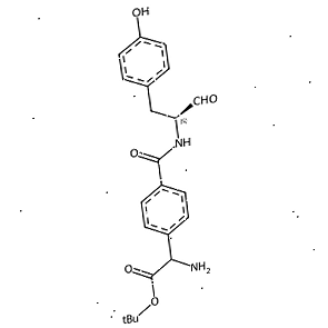 CC(C)(C)OC(=O)C(N)c1ccc(C(=O)N[C@H](C=O)Cc2ccc(O)cc2)cc1